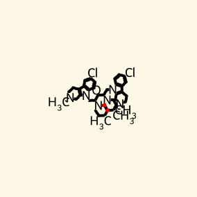 CC1CCN(C(Cn2c3c(c4cc(Cl)ccc42)CCN(C)C3)C(=O)C(Cn2c3c(c4cc(Cl)ccc42)CCN(C)C3)N2CCC(C)CC2)CC1